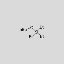 [CH2]CCCO[Si](CC)(CC)CC